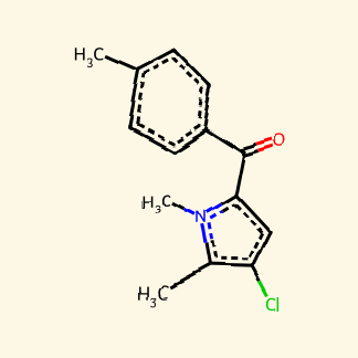 Cc1ccc(C(=O)c2cc(Cl)c(C)n2C)cc1